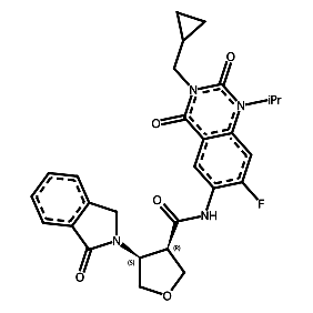 CC(C)n1c(=O)n(CC2CC2)c(=O)c2cc(NC(=O)[C@H]3COC[C@H]3N3Cc4ccccc4C3=O)c(F)cc21